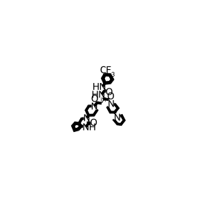 O=C(Nc1cccc(C(F)(F)F)c1)N[C@@H](CC(=O)N1CCC(N2Cc3ccccc3NC2=O)CC1)C(=O)N1CCC(N2CCCCC2)CC1